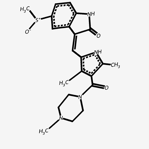 Cc1[nH]c(/C=C2\C(=O)Nc3ccc([S+](C)[O-])cc32)c(C)c1C(=O)N1CCN(C)CC1